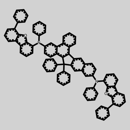 c1ccc(-c2cccc3c2oc2c(N(c4ccccc4)c4ccc5cc6c(cc5c4)C(c4ccccc4)(c4ccccc4)c4c-6c5ccccc5c5cc(N(c6ccccc6)c6cccc7c6oc6c(-c8ccccc8)cccc67)ccc45)cccc23)cc1